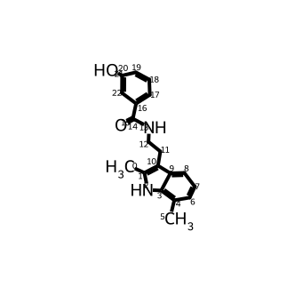 Cc1[nH]c2c(C)cccc2c1CCNC(=O)c1cccc(O)c1